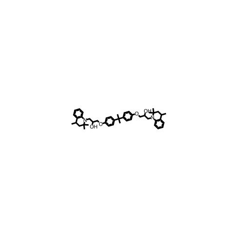 CC1CC(C)(C)N(CC(O)COc2ccc(C(C)(C)c3ccc(OCC(O)CN4c5ccccc5C(C)CC4(C)C)cc3)cc2)c2ccccc21